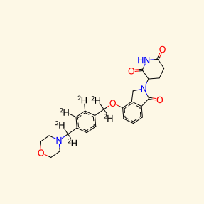 [2H]c1c(C([2H])([2H])Oc2cccc3c2CN(C2CCC(=O)NC2=O)C3=O)ccc(C([2H])([2H])N2CCOCC2)c1[2H]